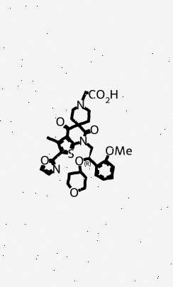 COc1ccccc1[C@H](CN1C(=O)C2(CCN(CC(=O)O)CC2)C(=O)c2c1sc(-c1ncco1)c2C)OC1CCOCC1